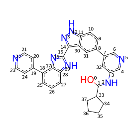 OC(Nc1cncc(-c2ccc3[nH]nc(-c4nc5c(-c6ccncc6)cccc5[nH]4)c3c2)c1)C1CCCC1